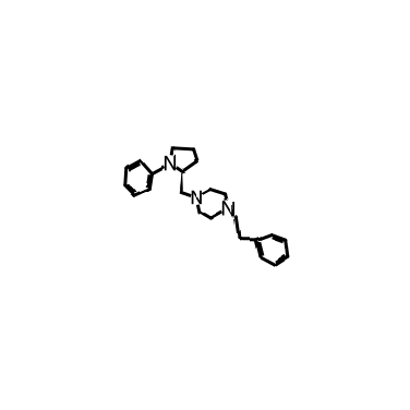 c1ccc(CCN2CCN(C[C@@H]3CCCN3c3ccccc3)CC2)cc1